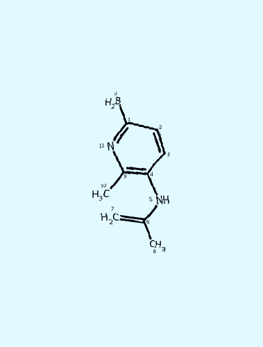 Bc1ccc(NC(=C)C)c(C)n1